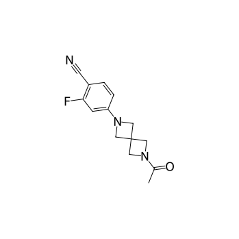 CC(=O)N1CC2(C1)CN(c1ccc(C#N)c(F)c1)C2